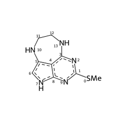 CSc1nc2c3c(c[nH]c3n1)NCCN2